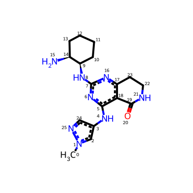 Cn1cc(Nc2nc(N[C@@H]3CCCC[C@@H]3N)nc3c2C(=O)NCC3)cn1